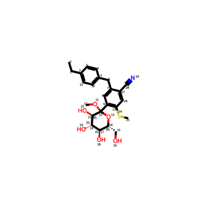 CCc1ccc(Cc2cc([C@]3(OC)O[C@H](CO)[C@@H](O)[C@H](O)[C@H]3O)c(SC)cc2C#N)cc1